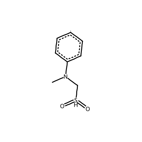 CN(C[SH](=O)=O)c1cc[c]cc1